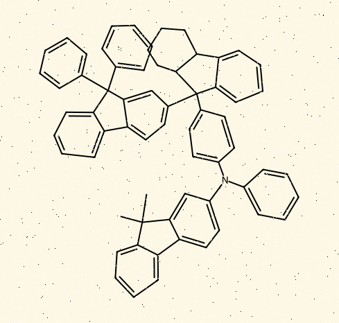 CC1(C)c2ccccc2-c2ccc(N(c3ccccc3)c3ccc(C4(c5ccc6c(c5)C(c5ccccc5)(c5ccccc5)c5ccccc5-6)c5ccccc5C5CCCCC54)cc3)cc21